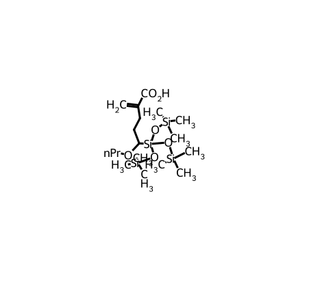 C=C(CCC(OCCC)[Si](O[Si](C)(C)C)(O[Si](C)(C)C)O[Si](C)(C)C)C(=O)O